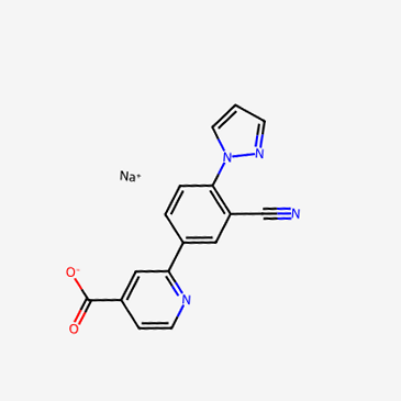 N#Cc1cc(-c2cc(C(=O)[O-])ccn2)ccc1-n1cccn1.[Na+]